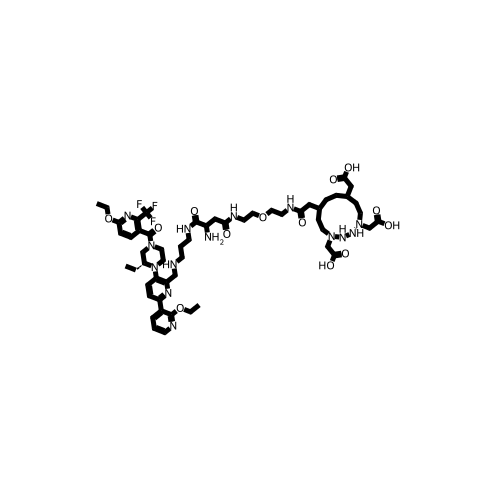 CCOc1ccc(C(=O)N2CCN(c3ccc(-c4cccnc4OCC)nc3CNCCCNC(=O)C(N)CC(=O)NCCOCCNC(=O)CC3CCC(CC(=O)O)CCN(CC(=O)O)NNN(CC(=O)O)CC3)[C@H](CC)C2)c(C(F)(F)F)n1